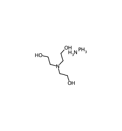 N.OCCN(CCO)CCO.P